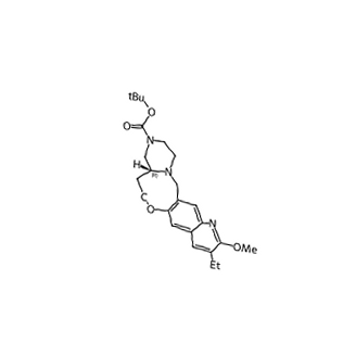 CCc1cc2cc3c(cc2nc1OC)CN1CCN(C(=O)OC(C)(C)C)C[C@H]1CCO3